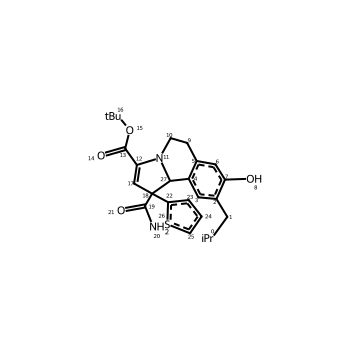 CC(C)Cc1cc2c(cc1O)CCN1C(C(=O)OC(C)(C)C)=CC(C(N)=O)(c3cccs3)C21